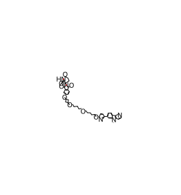 Cn1c2ccncc2c2ccc(-c3ccc(OCCCCCOCCCCCOC4CC(Oc5ccc6c(c5)C(=O)N(C5CCC(=O)NC5=O)C6=O)C4)nc3)cc21